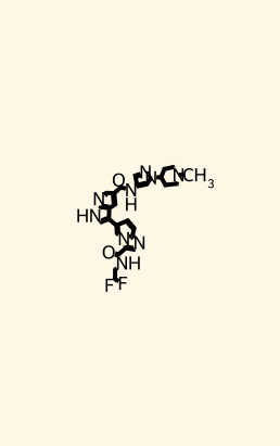 CN1CCC(n2cc(NC(=O)c3cnc4[nH]cc(-c5ccc6ncc(C(=O)NCC(F)F)n6c5)c4c3)cn2)CC1